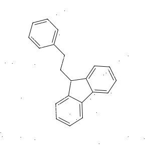 c1ccc(CCC2c3ccccc3-c3ccccc32)cc1